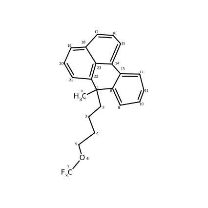 CC1(CCCCOC(F)(F)F)c2ccccc2-c2cccc3cccc1c23